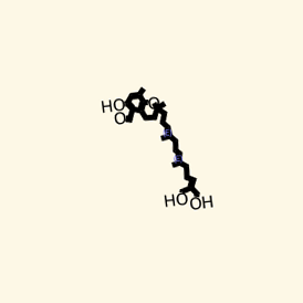 C/C(=C\CC/C(C)=C/CCC1(C)CCc2c(C=O)c(O)cc(C)c2O1)CCC=C(CO)CO